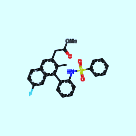 COC(=O)Cc1cc2ccc(F)cc2c(-c2ccccc2NS(=O)(=O)c2ccccc2)c1C